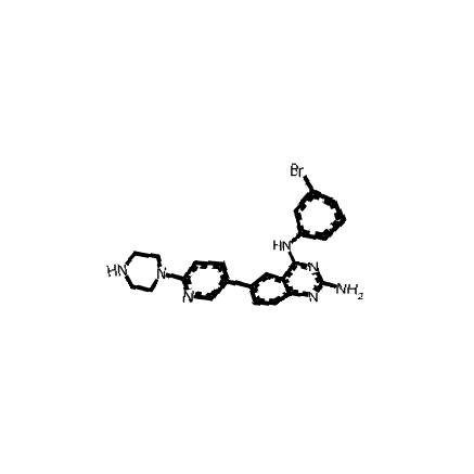 Nc1nc(Nc2cccc(Br)c2)c2cc(-c3ccc(N4CCNCC4)nc3)ccc2n1